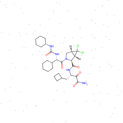 NC(=O)C(=O)[C@H](CC1CCC1)NC(=O)[C@@H]1[C@@H]2[C@H](CN1C(=O)[C@@H](NC(=O)NC1CCCCC1)C1CCCCC1)C2(Cl)Cl